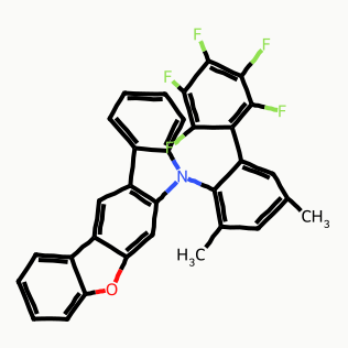 Cc1cc(C)c(-n2c3ccccc3c3cc4c(cc32)oc2ccccc24)c(-c2c(F)c(F)c(F)c(F)c2F)c1